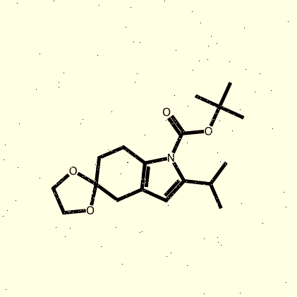 CC(C)c1cc2c(n1C(=O)OC(C)(C)C)CCC1(C2)OCCO1